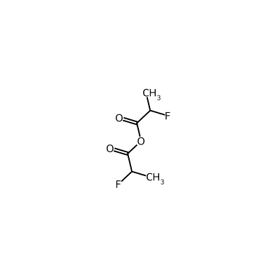 CC(F)C(=O)OC(=O)C(C)F